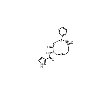 O=C1CC/C=C/C[C@@H](NC(=O)c2cc[nH]n2)C(=O)OC[C@@H](c2ccccc2)N1